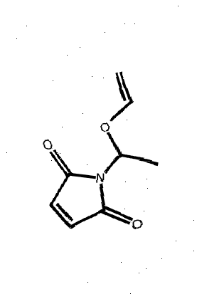 C=COC(C)N1C(=O)C=CC1=O